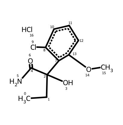 CCC(O)(C(N)=O)c1c(Cl)cccc1OC.Cl